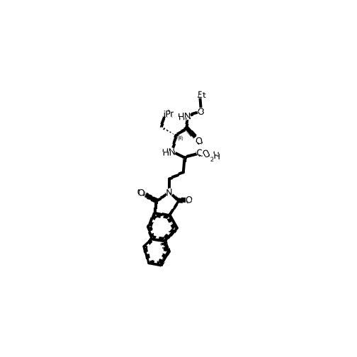 CCONC(=O)[C@@H](CC(C)C)NC(CCN1C(=O)c2cc3ccccc3cc2C1=O)C(=O)O